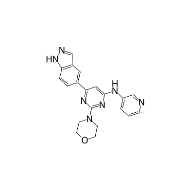 [c]1ccc(Nc2cc(-c3ccc4[nH]ncc4c3)nc(N3CCOCC3)n2)cn1